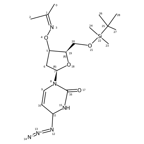 CC(C)=NOC1C[C@H](N2C=CC(N=[N+]=[N-])NC2=O)O[C@@H]1CO[Si](C)(C)C(C)(C)C